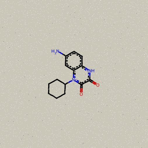 Nc1ccc2[nH]c(=O)c(=O)n(C3CCCCC3)c2c1